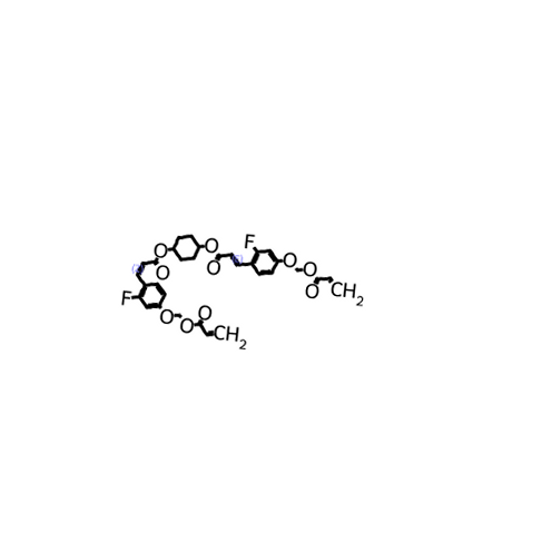 C=CC(=O)OCOc1ccc(/C=C\C(=O)OC2CCC(OC(=O)/C=C/c3ccc(OCOC(=O)C=C)cc3F)CC2)c(F)c1